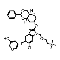 C[Si](C)(C)CCOCn1c(O[C@H]2CO[C@@H]3COC(c4ccccc4)O[C@H]3C2)nc2cc(I)c(Cl)cc21.OC1=CC=COC1